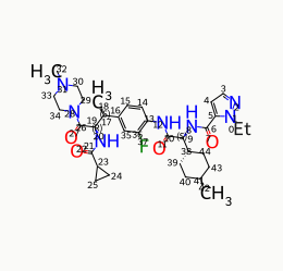 CCn1nccc1C(=O)N[C@H](C(=O)Nc1ccc([C@H](C)[C@@H](NC(=O)C2CC2)C(=O)N2CCN(C)CC2)cc1F)[C@H]1CC[C@H](C)CC1